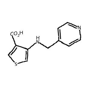 O=C(O)c1cscc1NCc1ccncc1